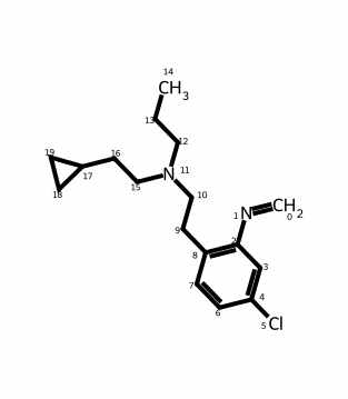 C=Nc1cc(Cl)ccc1CCN(CCC)CCC1CC1